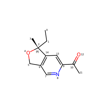 CC[C@@]1(C)OCc2cnc(C(C)=O)cc21